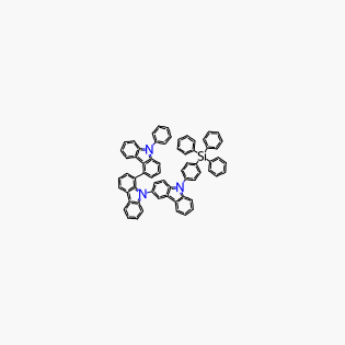 c1ccc(-n2c3ccccc3c3c(-c4cccc5c6ccccc6n(-c6ccc7c(c6)c6ccccc6n7-c6ccc([Si](c7ccccc7)(c7ccccc7)c7ccccc7)cc6)c45)cccc32)cc1